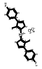 CC1=[C]([Hf+2][C]2=C(C)C(c3ccc(F)cc3)=CC2)CC=C1c1ccc(F)cc1.[Cl-].[Cl-]